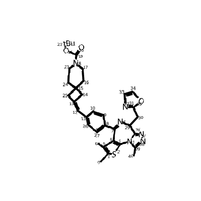 Cc1sc2c(c1C)C(c1ccc(C=C3CC4(CCN(C(=O)OC(C)(C)C)CC4)C3)cc1)=NC(Cc1ncco1)c1nnc(C)n1-2